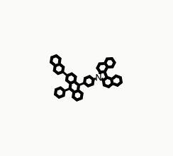 c1ccc(-c2c3ccccc3c(-c3ccc(-n4c5ccc6ccccc6c5c5c6ccccc6ccc54)cc3)c3ccc(-c4ccc5ccccc5c4)cc23)cc1